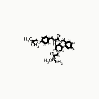 CC(C)COc1ccc(CNC(=O)N(Cc2ccc(F)cc2)C2CCN(CC(=O)N(C)C)CC2)cc1